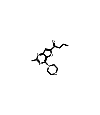 CCCC(=O)c1cc2nc(C)nc(N3CCOCC3)c2o1